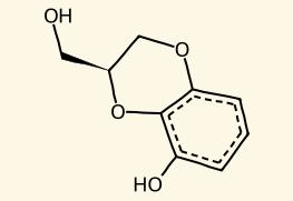 OC[C@H]1COc2cccc(O)c2O1